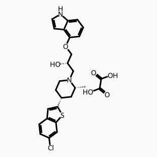 C[C@@H]1C[C@H](c2cc3ccc(Cl)cc3s2)CCN1C[C@H](O)COc1cccc2[nH]ccc12.O=C(O)C(=O)O